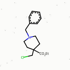 CCOC(=O)C1(CCl)CCN(Cc2ccccc2)CC1